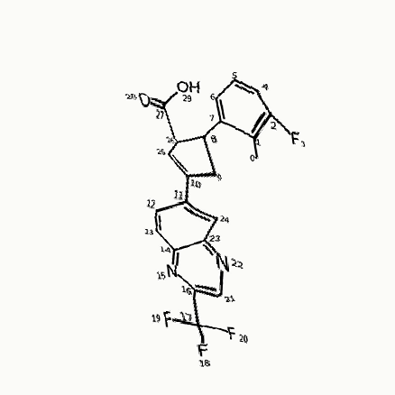 Cc1c(F)cccc1C1CC(c2ccc3nc(C(F)(F)F)cnc3c2)=CC1C(=O)O